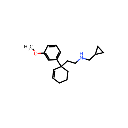 COc1cccc(C2(CCNCC3CC3)C=CCCC2)c1